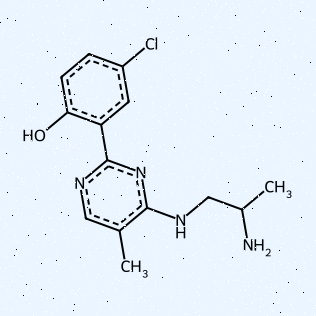 Cc1cnc(-c2cc(Cl)ccc2O)nc1NCC(C)N